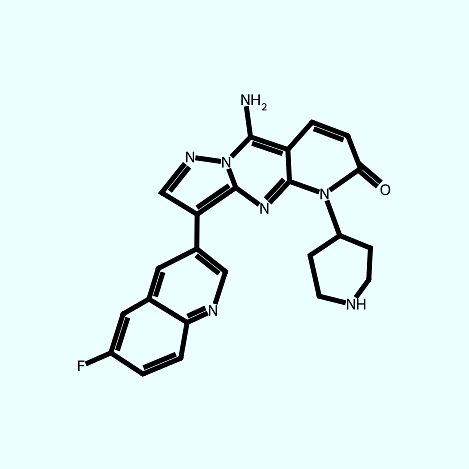 Nc1c2ccc(=O)n(C3CCNCC3)c2nc2c(-c3cnc4ccc(F)cc4c3)cnn12